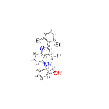 CCc1cccc(CC)c1-c1cc(CI)c2c(n1)CCCC2Nc1ccccc1CO